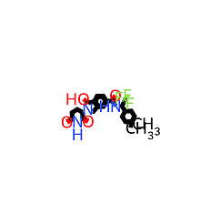 CC1(C)CCC([C@@H](NC(=O)c2ccc3c(c2)CN(C2CCC(=O)NC2=O)C3O)C(F)(F)F)CC1